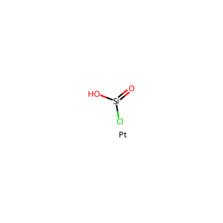 O=[Si](O)Cl.[Pt]